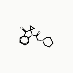 O=C(CN1CCCCC1)N1c2ccccc2C(=O)C12CC2